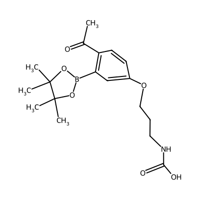 CC(=O)c1ccc(OCCCNC(=O)O)cc1B1OC(C)(C)C(C)(C)O1